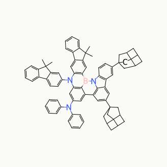 CC1(C)c2ccccc2-c2ccc(N3c4cc5c(cc4B4c6c(cc(N(c7ccccc7)c7ccccc7)cc63)-c3cc(C67CC8CC9CC(C6)C98C7)cc6c7cc(C89CC%10CC%11CC(C8)C%11%10C9)ccc7n4c36)C(C)(C)c3ccccc3-5)cc21